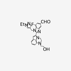 CCn1cc(Cn2c(-c3cc4cccc5c4n3CCN5CCO)nc3cc(C=O)cc(F)c32)cn1